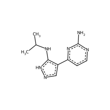 CC(C)Nc1[nH]ncc1-c1ccnc(N)n1